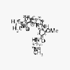 COc1cc(C(=O)NC2CCN(C)CC2)ccc1Nc1ncc(C(F)(F)F)c(Oc2cccc3c2C(=O)N(C)C3C)n1